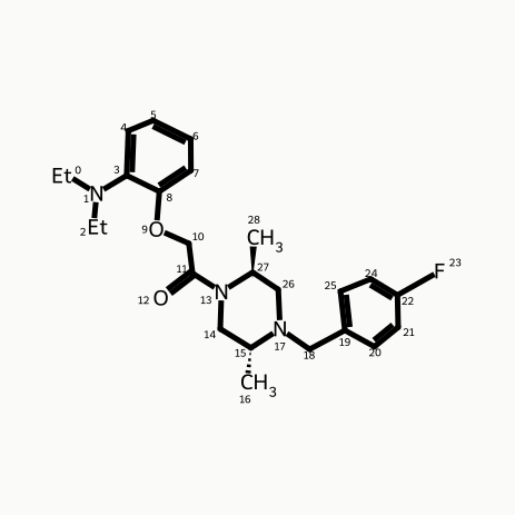 CCN(CC)c1ccccc1OCC(=O)N1C[C@@H](C)N(Cc2ccc(F)cc2)C[C@@H]1C